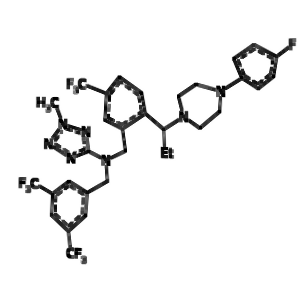 CCC(c1ccc(C(F)(F)F)cc1CN(Cc1cc(C(F)(F)F)cc(C(F)(F)F)c1)c1nnn(C)n1)N1CCN(c2ccc(F)cc2)CC1